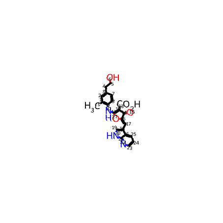 Cc1cc(CCO)ccc1NC1=C(C(=O)O)C(=O)/C(=C/c2c[nH]c3ncccc23)O1